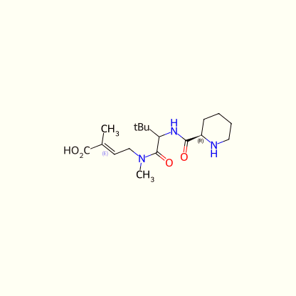 C/C(=C\CN(C)C(=O)C(NC(=O)[C@H]1CCCCN1)C(C)(C)C)C(=O)O